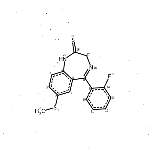 CSc1ccc2c(c1)C(c1ccccc1F)=NCC(=S)N2